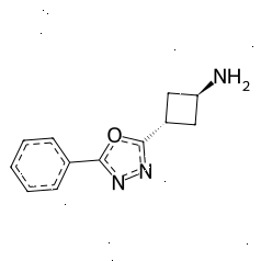 N[C@H]1C[C@H](c2nnc(-c3ccccc3)o2)C1